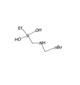 CCCCCNC[Si](O)(O)CC